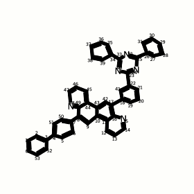 c1ccc(-c2ccc(-c3cc4c5cccnc5c(-c5cccc(-c6nc(-c7ccccc7)nc(-c7ccccc7)n6)c5)cc4c4cccnc34)cc2)cc1